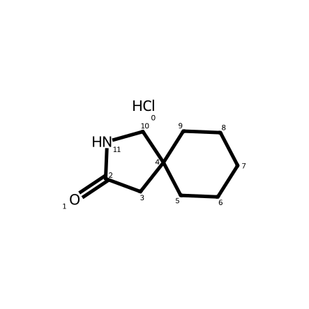 Cl.O=C1CC2(CCCCC2)CN1